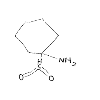 NC1([SH](=O)=O)CCCCC1